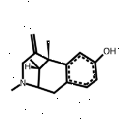 C=C1CN(C)C2Cc3ccc(O)cc3[C@]1(C)[C@H]2C